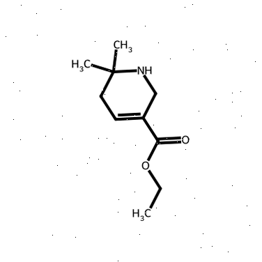 CCOC(=O)C1=CCC(C)(C)NC1